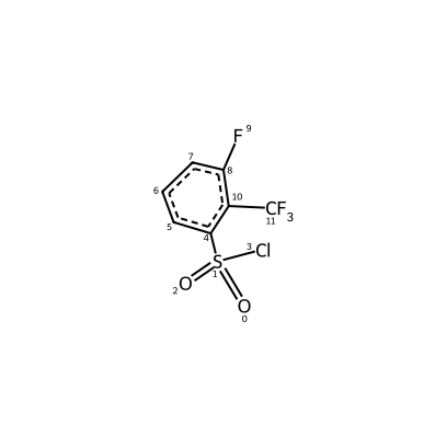 O=S(=O)(Cl)c1cccc(F)c1C(F)(F)F